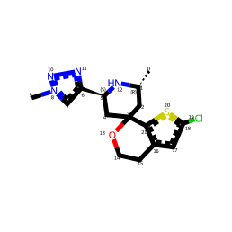 C[C@@H]1CC2(C[C@@H](c3cn(C)nn3)N1)OCCc1cc(Cl)sc12